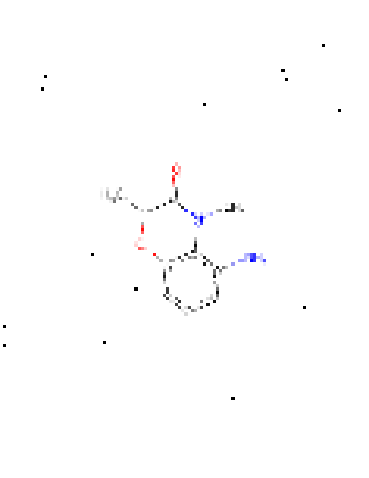 CC1Oc2cccc(N)c2N(C)C1=O